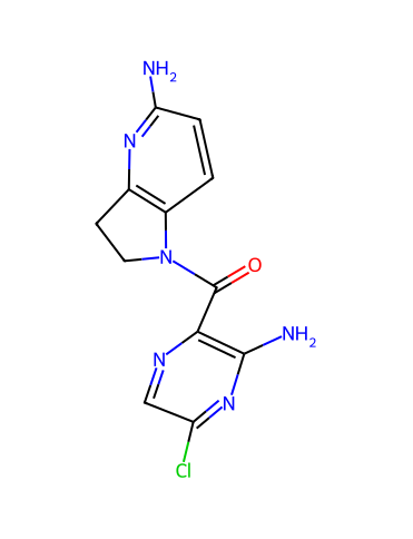 Nc1ccc2c(n1)CCN2C(=O)c1ncc(Cl)nc1N